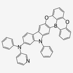 c1ccc(N(c2cccnc2)c2ccc3c4cc5c(cc4n(-c4ccccc4)c3c2)B2c3ccccc3Oc3cccc(c32)O5)cc1